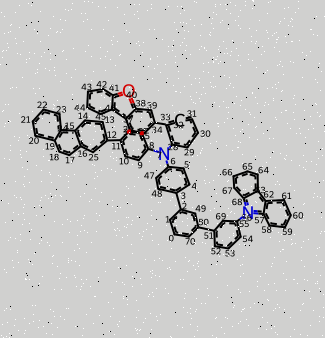 c1cc(-c2ccc(N(c3ccc(-c4ccc5c(ccc6ccccc65)c4)cc3)c3ccccc3-c3ccc4c(c3)oc3ccccc34)cc2)cc(-c2cccc(-n3c4ccccc4c4ccccc43)c2)c1